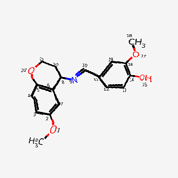 COc1ccc2c(c1)C(N=Cc1ccc(O)c(OC)c1)CCO2